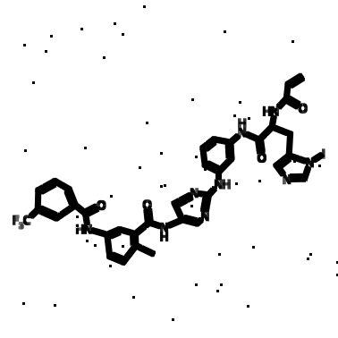 C=CC(=O)NC(Cc1cncn1I)C(=O)Nc1cccc(Nc2ncc(NC(=O)c3cc(NC(=O)c4cccc(C(F)(F)F)c4)ccc3C)cn2)c1